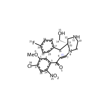 COc1cc(C(=O)/C=C/N2CCNC[C@]2(CO)Cc2ccc(F)cc2)c([N+](=O)[O-])cc1Cl